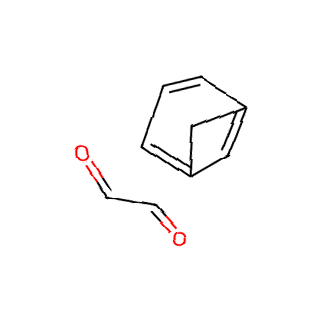 O=CC=O.c1cc2cc(c1)C2